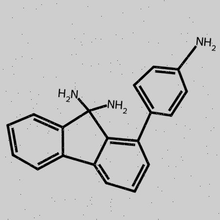 Nc1ccc(-c2cccc3c2C(N)(N)c2ccccc2-3)cc1